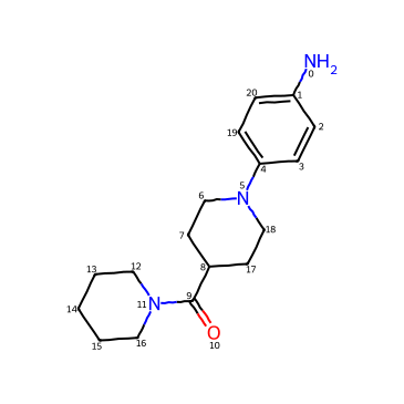 Nc1ccc(N2CCC(C(=O)N3CCCCC3)CC2)cc1